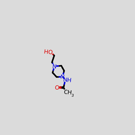 CC(=O)NN1CCN(CCO)CC1